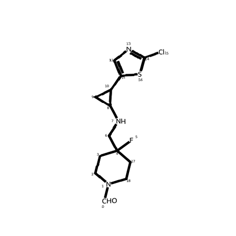 O=CN1CCC(F)(CNC2CC2c2cnc(Cl)s2)CC1